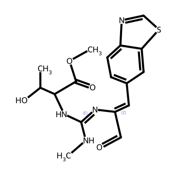 CN/C(=N\C(C=O)=C/c1ccc2ncsc2c1)NC(C(=O)OC)C(C)O